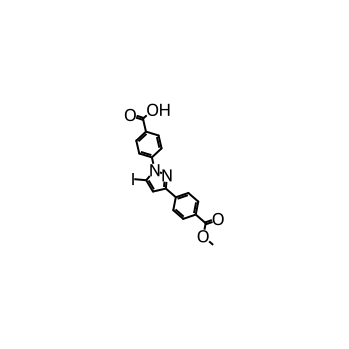 COC(=O)c1ccc(-c2cc(I)n(-c3ccc(C(=O)O)cc3)n2)cc1